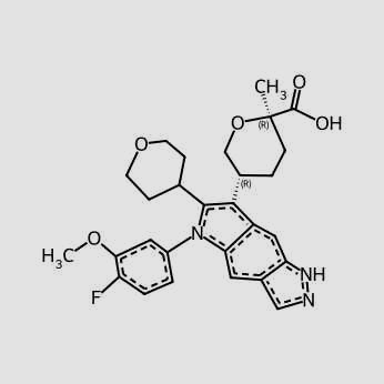 COc1cc(-n2c(C3CCOCC3)c([C@H]3CC[C@](C)(C(=O)O)OC3)c3cc4[nH]ncc4cc32)ccc1F